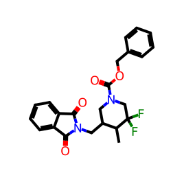 CC1C(CN2C(=O)c3ccccc3C2=O)CN(C(=O)OCc2ccccc2)CC1(F)F